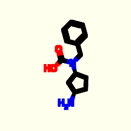 N[C@@H]1CC[C@H](N(Cc2ccccc2)C(=O)O)C1